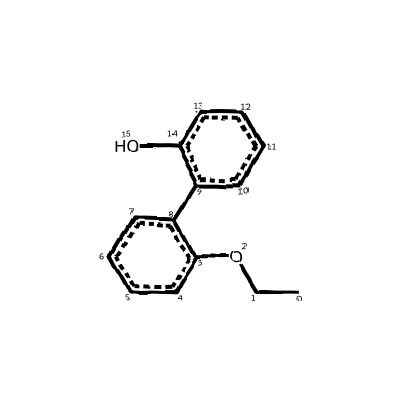 CCOc1ccccc1-c1ccc[c]c1O